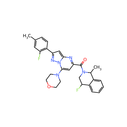 Cc1ccc(-c2cc3nc(C(=O)N4CC(F)c5ccccc5C4C)cc(N4CCOCC4)n3n2)c(F)c1